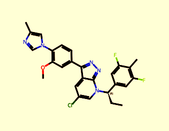 CC[C@H](c1cc(F)c(C)c(F)c1)n1cc(Cl)cc2c(-c3ccc(-n4cnc(C)c4)c(OC)c3)nnc1-2